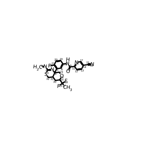 C=NC1=NC2(c3cc(NC(=O)c4ccc(C#N)cn4)ccc3F)COC(C(C)(F)F)CC2CS1